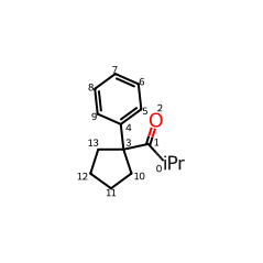 CC(C)C(=O)C1(c2ccccc2)CCCC1